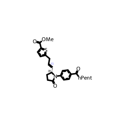 CCCCCC(=O)c1ccc(N2C(=O)CC[C@@H]2/C=C/Cc2ccc(C(=O)OC)s2)cc1